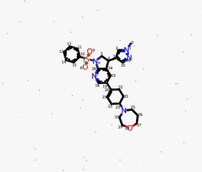 Cn1cc(C2CN(S(=O)(=O)c3ccccc3)c3ncc(C4=CCC(N5CCCOCC5)CC4)cc32)cn1